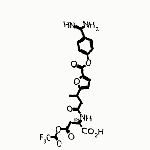 CC(CC(=O)N[C@H](CC(=O)OC(=O)C(F)(F)F)C(=O)O)c1ccc(C(=O)Oc2ccc(C(=N)N)cc2)o1